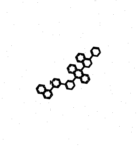 C1=CCCC(C2=c3ccccc3=C(c3c4ccccc4c(C4=CC(c5ccnc(-c6cccc7ccccc67)c5)=CCC4)c4ccccc34)CC2)=C1